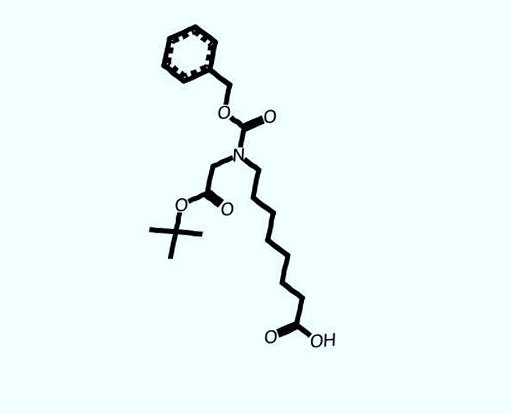 CC(C)(C)OC(=O)CN(CCCCCCCC(=O)O)C(=O)OCc1ccccc1